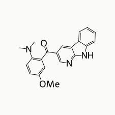 COc1ccc(N(C)C)c(C(=O)c2cnc3[nH]c4ccccc4c3c2)c1